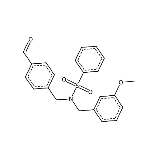 COc1cccc(CN(Cc2ccc(C=O)cc2)S(=O)(=O)c2ccccc2)c1